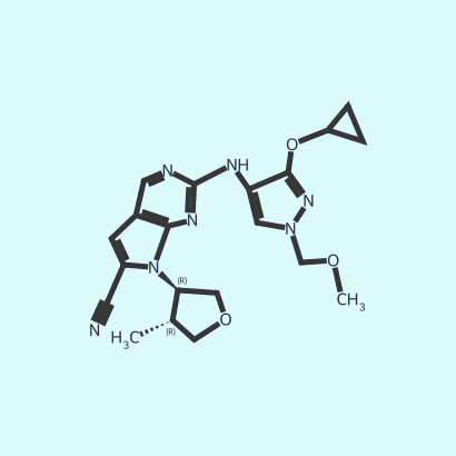 COCn1cc(Nc2ncc3cc(C#N)n([C@H]4COC[C@@H]4C)c3n2)c(OC2CC2)n1